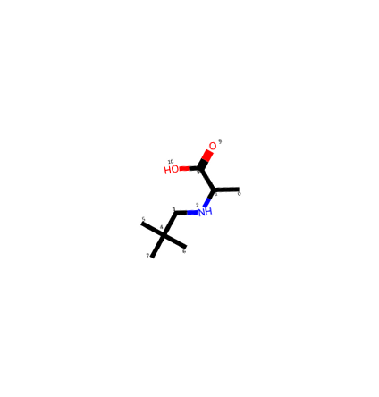 CC(NCC(C)(C)C)C(=O)O